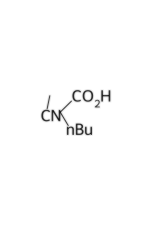 CC#N.CCCCCC(=O)O